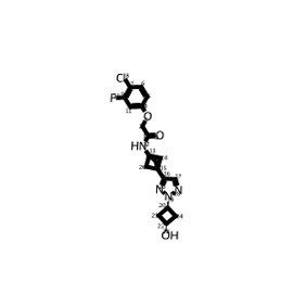 O=C(COc1ccc(Cl)c(F)c1)NC12CC(c3cnn([C@H]4C[C@@H](O)C4)n3)(C1)C2